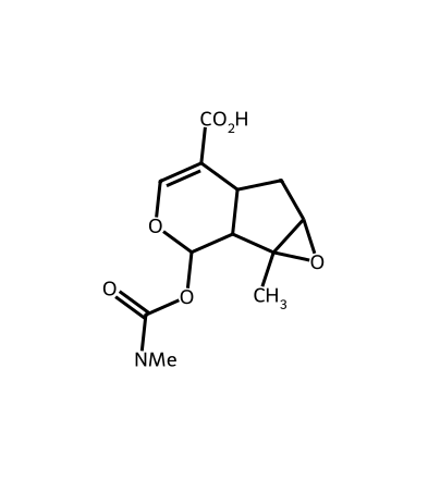 CNC(=O)OC1OC=C(C(=O)O)C2CC3OC3(C)C12